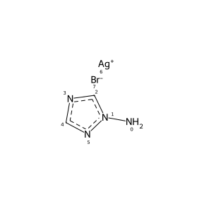 Nn1cncn1.[Ag+].[Br-]